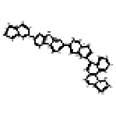 c1ccc2cc(-c3ccc4c(c3)oc3cc(-c5ccc6ccc(-c7cc8ccc9ccccc9c8c8ccccc78)cc6c5)ccc34)ccc2c1